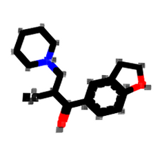 CC(CN1CCCCC1)C(=O)c1ccc2c(c1)CCO2